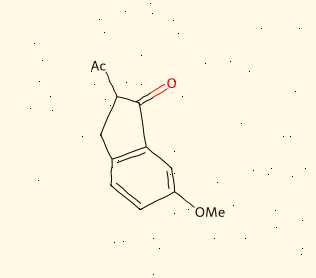 COc1ccc2c(c1)C(=O)C(C(C)=O)C2